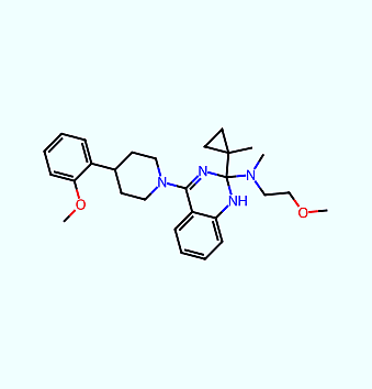 COCCN(C)C1(C2(C)CC2)N=C(N2CCC(c3ccccc3OC)CC2)c2ccccc2N1